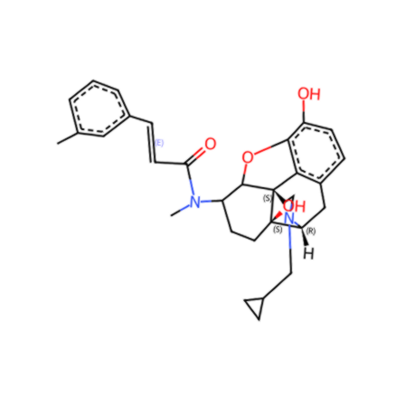 Cc1cccc(/C=C/C(=O)N(C)C2CC[C@@]3(O)[C@H]4Cc5ccc(O)c6c5[C@@]3(CCN4CC3CC3)C2O6)c1